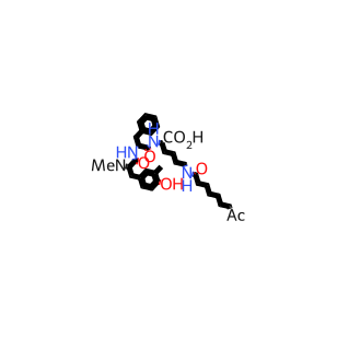 CNC(Cc1ccc(O)c(C)c1)C(=O)NC(Cc1ccccc1)C(=O)NC(CCCCNC(=O)CCCCCCC(C)=O)C(=O)O